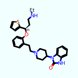 CCNCC[C@@H](Oc1ccccc1CCN1CCC(n2c(=O)[nH]c3ccccc32)CC1)c1cccs1